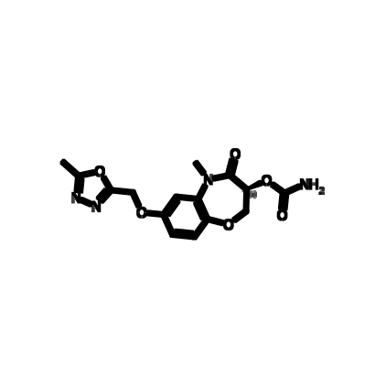 Cc1nnc(COc2ccc3c(c2)N(C)C(=O)[C@@H](OC(N)=O)CO3)o1